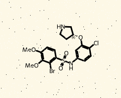 COc1ccc(S(=O)(=O)Nc2ccc(Cl)c(O[C@@H]3CCNC3)c2)c(Br)c1OC